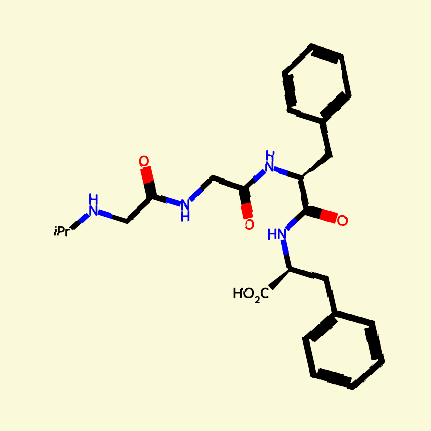 CC(C)NCC(=O)NCC(=O)N[C@@H](Cc1ccccc1)C(=O)N[C@@H](Cc1ccccc1)C(=O)O